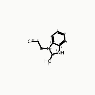 OC1Nc2ccccc2N1CCCl